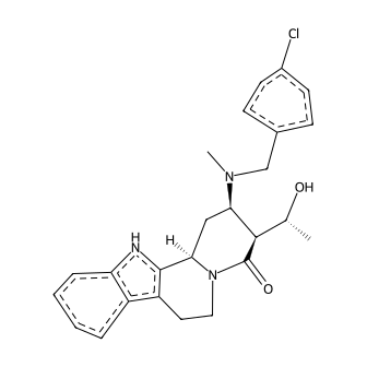 C[C@@H](O)[C@H]1C(=O)N2CCc3c([nH]c4ccccc34)[C@H]2C[C@H]1N(C)Cc1ccc(Cl)cc1